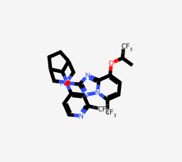 CC(Oc1ccc(C(F)(F)F)n2nc(NC3C4CCC3CN(c3ccnc(C(F)(F)F)c3)C4)nc12)C(F)(F)F